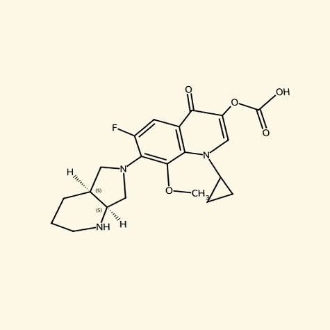 COc1c(N2C[C@@H]3CCCN[C@@H]3C2)c(F)cc2c(=O)c(OC(=O)O)cn(C3CC3)c12